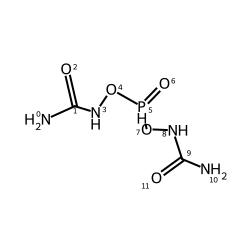 NC(=O)NO[PH](=O)ONC(N)=O